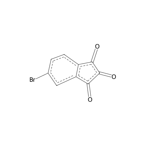 O=c1c(=O)c2ccc(Br)cc2c1=O